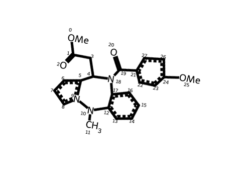 COC(=O)CC1c2cccn2N(C)c2ccccc2N1C(=O)c1ccc(OC)cc1